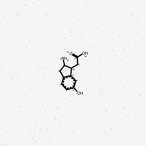 NC1Cc2ccc(O)cc2C1CC(=O)O